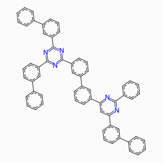 c1ccc(-c2cccc(-c3cc(-c4cccc(-c5cccc(-c6nc(-c7cccc(-c8ccccc8)c7)nc(-c7cccc(-c8ccccc8)c7)n6)c5)c4)nc(-c4ccccc4)n3)c2)cc1